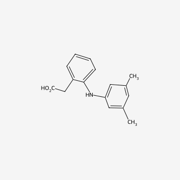 Cc1cc(C)cc(Nc2ccccc2CC(=O)O)c1